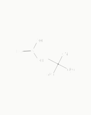 CCCCC(C)(C#N)CCCC.OB(O)O